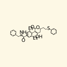 CCc1cc(C(=O)[C@@H](N)Cc2ccccc2)cc(CC)c1C1=C(O)CC(CCSc2ccccc2)OC1=O